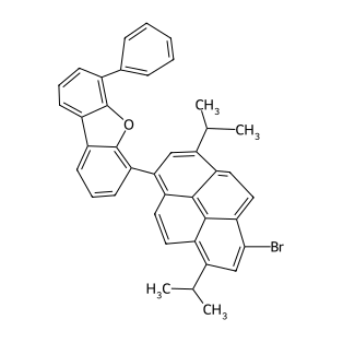 CC(C)c1cc(Br)c2ccc3c(C(C)C)cc(-c4cccc5c4oc4c(-c6ccccc6)cccc45)c4ccc1c2c43